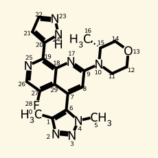 Cc1nnn(C)c1-c1cc(N2CCOC[C@H]2C)nc2c(-c3ccn[nH]3)ncc(F)c12